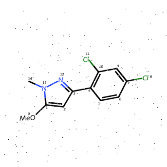 COc1cc(-c2ccc(Cl)cc2Cl)nn1C